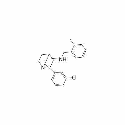 Cc1ccccc1CNC1C2CCN(CC2)C1c1cccc(Cl)c1